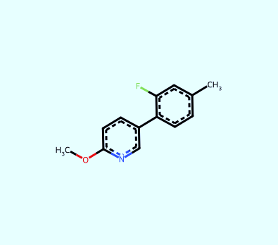 COc1ccc(-c2ccc(C)cc2F)cn1